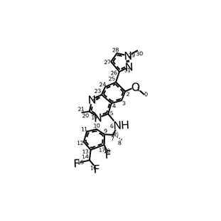 COc1cc2c(N[C@H](C)c3cccc(C(F)F)c3F)nc(C)nc2cc1-c1ccn(C)n1